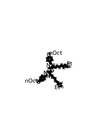 CCCCCCCCOc1ccc(-c2ncc(Oc3cnc(-c4ccc(OCCCCCCCC)cc4)nc3CCCCCC[Si](C)(C)CC)c(CCCCCC[Si](C)(C)CC)n2)cc1